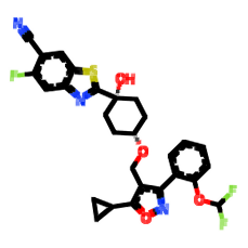 N#Cc1cc2sc([C@]3(O)CC[C@@H](OCc4c(-c5ccccc5OC(F)F)noc4C4CC4)CC3)nc2cc1F